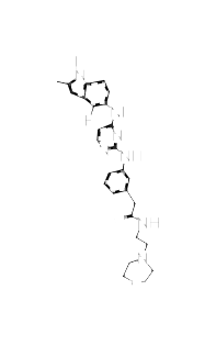 Cc1cc2c(F)c(Nc3ccnc(Nc4cccc(CC(=O)NCCN5CCOCC5)c4)n3)ccc2[nH]1